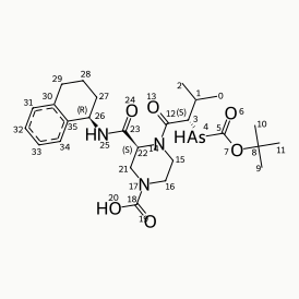 CC(C)[C@H]([AsH]C(=O)OC(C)(C)C)C(=O)N1CCN(C(=O)O)C[C@H]1C(=O)N[C@@H]1CCCc2ccccc21